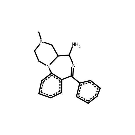 CN1CCN2c3ccccc3C(c3ccccc3)=NC(N)C2C1